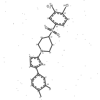 Cc1ccc(-c2csc(N3CCC(S(=O)(=O)c4ccc(Cl)c([N+](=O)[O-])c4)CC3)n2)cc1C